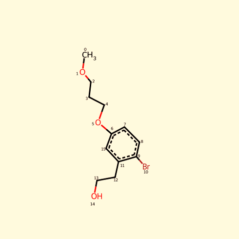 COCCCOc1ccc(Br)c(CCO)c1